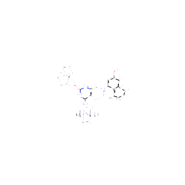 Oc1cc(N2CCc3c(nc(OCC45CCCN4CC(F)C5)nc3N3C[C@H]4CC[C@@H](C3)N4)C2)c2c(Cl)cccc2c1